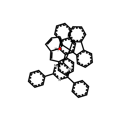 C\C1=C/C=C\C(c2c(-c3nc(-c4ccccc4)nc(-c4ccccc4)n3)ccc3ccccc23)=C\c2ccccc2C12c1ccccc1-c1ccccc12